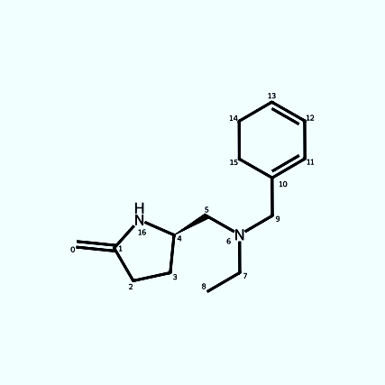 C=C1CC[C@H](CN(CC)CC2=CC=CCC2)N1